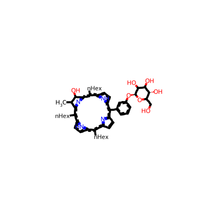 CCCCCCc1c2nc(c(-c3cccc(O[C@@H]4OC(CO)[C@@H](O)C(O)C4O)c3)c3ccc([nH]3)c(CCCCCC)c3nc(c(CCCCCC)c4ccc1[nH]4)C(C)C3O)C=C2